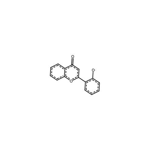 [O]c1ccccc1-c1cc(=O)c2ccccc2o1